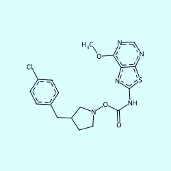 COc1ncnc2sc(NC(=O)ON3CCC(Cc4ccc(Cl)cc4)C3)nc12